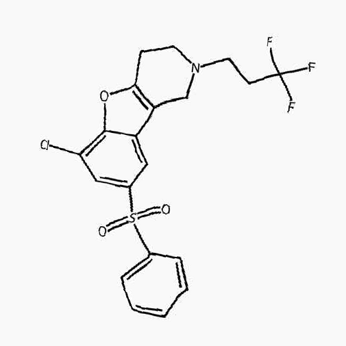 O=S(=O)(c1ccccc1)c1cc(Cl)c2oc3c(c2c1)CN(CCC(F)(F)F)CC3